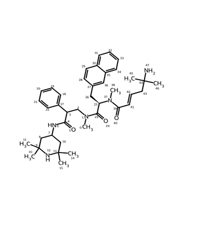 CN(CC(C(=O)NC1CC(C)(C)NC(C)(C)C1)c1ccccc1)C(=O)[C@@H](Cc1ccc2ccccc2c1)N(C)C(=O)/C=C/CC(C)(C)N